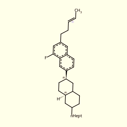 C/C=C/CCc1cc(F)c2cc([C@@H]3CC[C@@H]4CC(CCCCCCC)CCC4C3)ccc2c1